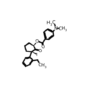 CCc1ccccc1[C@]1(I)CCC[C@@H](OC(=O)c2ccc(N(C)C)cc2)C1=O